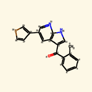 Cc1ccccc1C(=O)c1c[nH]c2ncc(-c3ccsc3)cc12